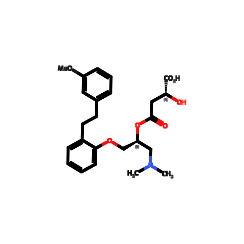 COc1cccc(CCc2ccccc2OC[C@H](CN(C)C)OC(=O)C[C@@H](O)C(=O)O)c1